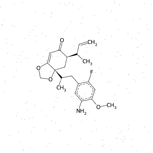 C=CC(C)[C@H]1C[C@]2(C(C)Cc3cc(N)c(OC)cc3F)OCOC2=CC1=O